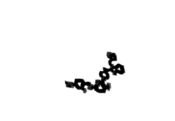 N#Cc1ccc(COc2ccc(F)c(N3CCC4(CC3)CC4c3nc4ccccc4n3C[C@@H]3CCO3)n2)c(F)c1